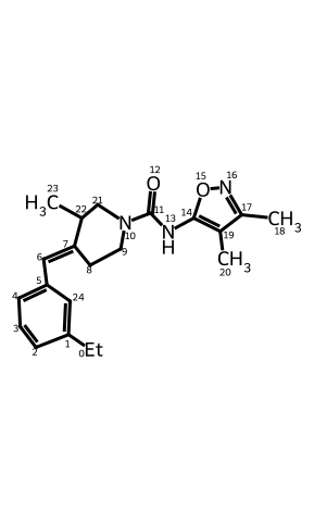 CCc1cccc(C=C2CCN(C(=O)Nc3onc(C)c3C)CC2C)c1